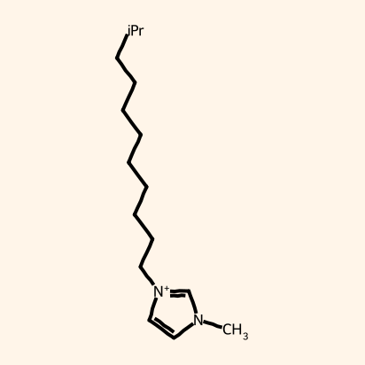 CC(C)CCCCCCCCC[n+]1ccn(C)c1